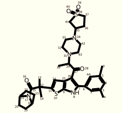 Cc1cc(C)cc(-c2[nH]c3sc(C(C)(C)C(=O)N4C5CCC4CC5)cc3c2C(=O)C(C)N2CCN(C3CCS(=O)(=O)C3)CC2)c1